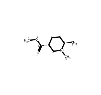 COC(=O)[C@@H]1CC[C@@H](C)N(C)C1